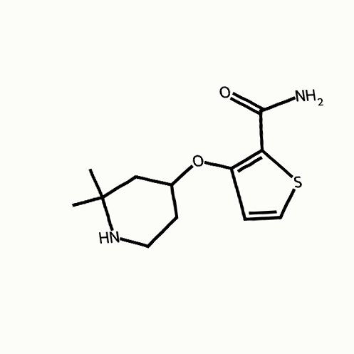 CC1(C)CC(Oc2ccsc2C(N)=O)CCN1